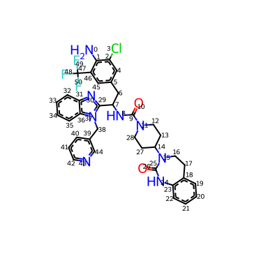 Nc1c(Cl)cc(CC(NC(=O)N2CCC(N3CCc4ccccc4NC3=O)CC2)c2nc3ccccc3n2Cc2cccnc2)cc1C(F)(F)F